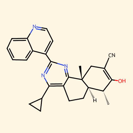 C[C@H]1C(O)=C(C#N)C[C@@]2(C)c3nc(-c4ccnc5ccccc45)nc(C4CC4)c3CC[C@H]12